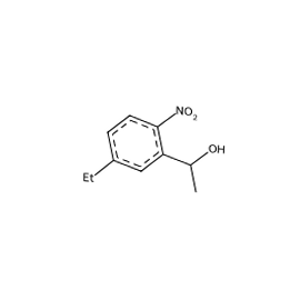 CCc1ccc([N+](=O)[O-])c(C(C)O)c1